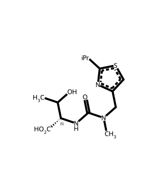 CC(C)c1nc(CN(C)C(=O)N[C@H](C(=O)O)C(C)O)cs1